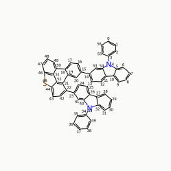 c1ccc(-n2c3ccccc3c3ccc(-c4ccc5c(c4)c4c(-c6ccc7c8ccccc8n(-c8ccccc8)c7c6)ccc6sc7cccc5c7c64)cc32)cc1